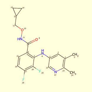 Cc1cc(Nc2c(C(=O)NOCC3CC3)ccc(F)c2F)cnc1C